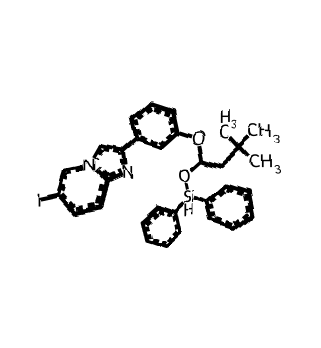 CC(C)(C)CC(Oc1cccc(-c2cn3cc(I)ccc3n2)c1)O[SiH](c1ccccc1)c1ccccc1